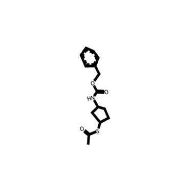 CC(=O)SC1CCC(NC(=O)OCc2ccccc2)C1